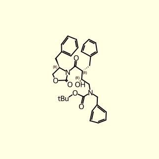 CC(C)(C)OC(=O)N(Cc1ccccc1)C[C@H](O)[C@@H](Cc1ccccc1)C(=O)N1C(=O)OC[C@H]1Cc1ccccc1